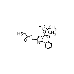 CC(C)(C)OC(=O)n1cc(COC(=O)CS)nc1-c1ccccc1